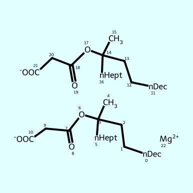 CCCCCCCCCCCCC(C)(CCCCCCC)OC(=O)CC(=O)[O-].CCCCCCCCCCCCC(C)(CCCCCCC)OC(=O)CC(=O)[O-].[Mg+2]